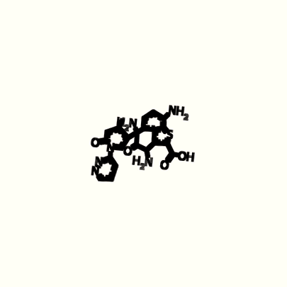 Cc1cc(=O)n(-c2cccnn2)cc1C1(N)C(=O)C(N)c2c(C(=O)O)sc3c(N)ccc1c23